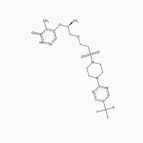 Cc1c(O[C@@H](C)COCCS(=O)(=O)N2CCN(c3ncc(C(F)(F)F)cn3)CC2)cn[nH]c1=O